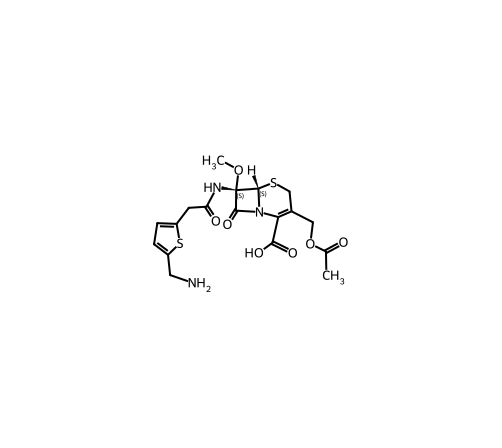 CO[C@@]1(NC(=O)Cc2ccc(CN)s2)C(=O)N2C(C(=O)O)=C(COC(C)=O)CS[C@H]21